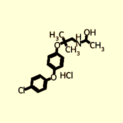 CC(O)NCC(C)(C)Oc1ccc(Oc2ccc(Cl)cc2)cc1.Cl